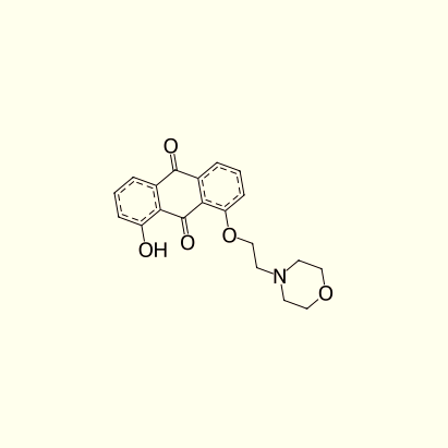 O=C1c2cccc(O)c2C(=O)c2c(OCCN3CCOCC3)cccc21